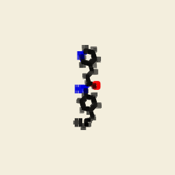 [CH2]Cc1ccc(NC(=O)CCc2cccnc2)cc1